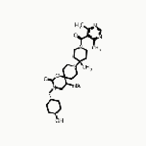 CCCCC1CN(C[C@H]2CC[C@H](O)CC2)C(=O)OC12CCN(C1(C)CCN(C(=O)c3c(C)ncnc3C)CC1)CC2